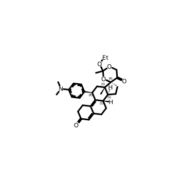 CCOC1(C)OCC(=O)[C@]2(CC[C@H]3[C@@H]4CCC5=CC(=O)CCC5=C4[C@@H](c4ccc(N(C)C)cc4)C[C@@]32C)O1